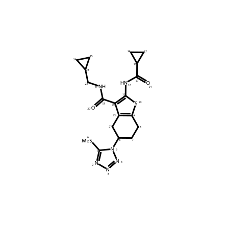 CSc1nnnn1C1CCc2sc(NC(=O)C3CC3)c(C(=O)NCC3CC3)c2C1